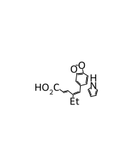 CCC(C=CC(=O)O)=Cc1ccc2c(c1)OCO2.c1cc[nH]c1